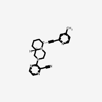 Cc1ccnc(C#C[C@H]2CCC[C@H]3CN(c4nccnc4C#N)CCN32)c1